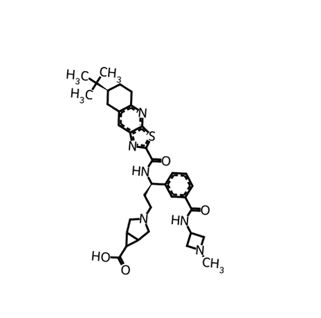 CN1CC(NC(=O)c2cccc([C@@H](CCN3CC4C(C3)C4C(=O)O)NC(=O)c3nc4cc5c(nc4s3)CC[C@H](C(C)(C)C)C5)c2)C1